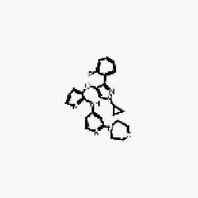 Fc1ccccc1-c1nn(C2CC2)cc1Oc1cccnc1Nc1ccnc(N2CCOCC2)c1